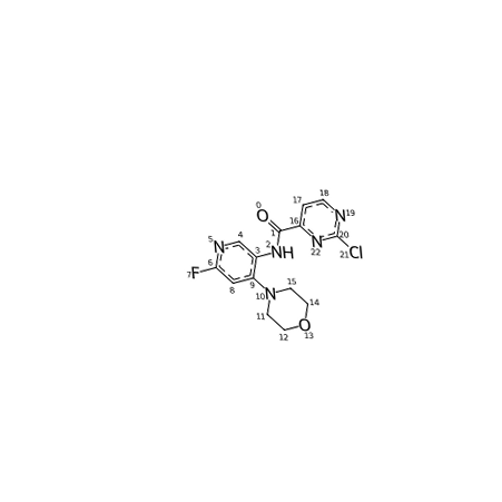 O=C(Nc1cnc(F)cc1N1CCOCC1)c1ccnc(Cl)n1